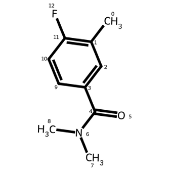 Cc1cc(C(=O)N(C)C)ccc1F